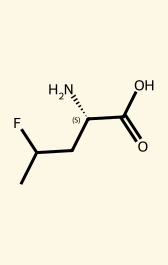 CC(F)C[C@H](N)C(=O)O